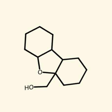 OCC12CCCCC1C1CCCCC1O2